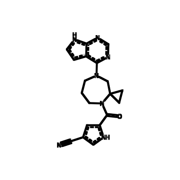 N#Cc1c[nH]c(C(=O)N2CCCN(c3ncnc4[nH]ccc34)CC23CC3)c1